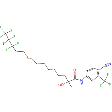 CC(O)(CCCCCCCSCCC(F)(F)C(F)(F)C(F)(F)F)C(=O)Nc1ccc(C#N)c(C(F)(F)F)c1